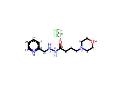 Cl.Cl.O=C(CCCN1CCOCC1)NNCc1ccccn1